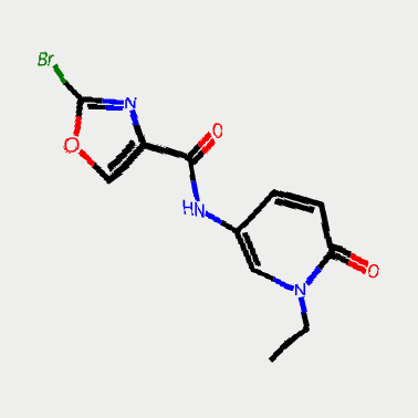 CCn1cc(NC(=O)c2coc(Br)n2)ccc1=O